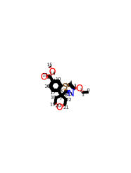 CCOc1csc(C2(c3ccc(C(=O)OC)cc3)CCOCC2)n1